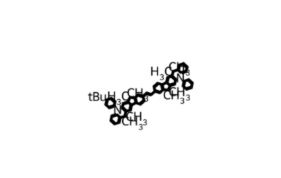 CC(C)(C)c1ccc(N2c3ccccc3C(C)(C)c3cc4c(cc32)C(C)(C)c2cc(/C=C/c3ccc5c(c3)C(C)(C)c3cc6c(cc3-5)C(C)(C)c3ccccc3N6c3ccccc3)ccc2-4)cc1